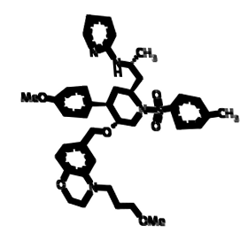 COCCCN1CCOc2ccc(CO[C@H]3CN(S(=O)(=O)c4ccc(C)cc4)[C@H](C[C@@H](C)Nc4ccccn4)C[C@@H]3c3ccc(OC)cc3)cc21